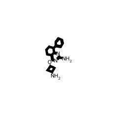 Nc1nc(O[C@H]2C[C@H](N)C2)c2c(n1)C(c1ccccc1)CCC2